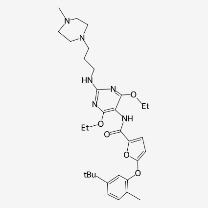 CCOc1nc(NCCCN2CCN(C)CC2)nc(OCC)c1NC(=O)c1ccc(Oc2cc(C(C)(C)C)ccc2C)o1